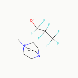 C[N+]12CCN(CC1)CC2.[O-]C(F)(F)C(F)(F)C(F)(F)F